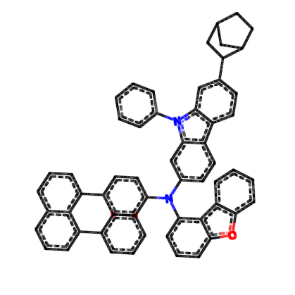 c1ccc(-c2cccc3cccc(-c4ccc(N(c5ccc6c7ccc(C8CC9CCC8C9)cc7n(-c7ccccc7)c6c5)c5cccc6oc7ccccc7c56)cc4)c23)cc1